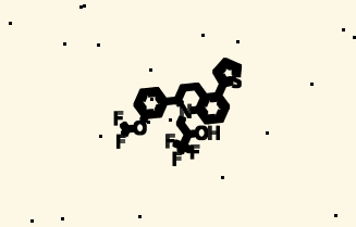 OC(CN1c2cccc(-c3cccs3)c2CCC1c1cccc(OC(F)F)c1)C(F)(F)F